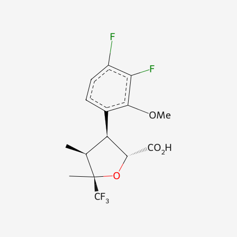 COc1c([C@H]2[C@H](C(=O)O)O[C@@](C)(C(F)(F)F)[C@H]2C)ccc(F)c1F